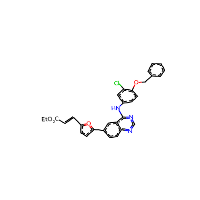 CCOC(=O)/C=C/c1ccc(-c2ccc3ncnc(Nc4ccc(OCc5ccccc5)c(Cl)c4)c3c2)o1